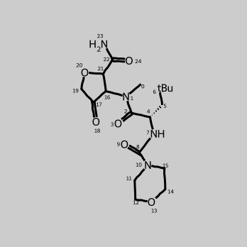 CN(C(=O)[C@H](CC(C)(C)C)NC(=O)N1CCOCC1)C1C(=O)COC1C(N)=O